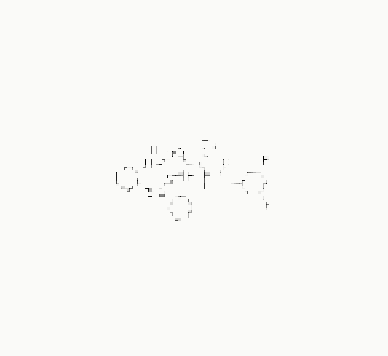 C[C@H](NC(=O)Cc1cc(F)cc(F)c1)C(=O)N[C@@H]1C(=O)N(C)c2ccccc2S[C@@H]1c1ccccc1